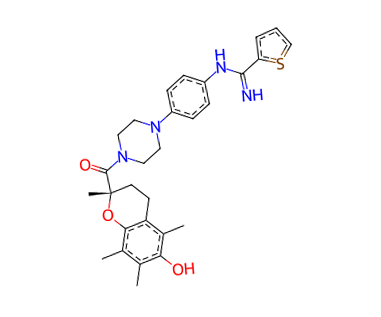 Cc1c(C)c2c(c(C)c1O)CC[C@@](C)(C(=O)N1CCN(c3ccc(NC(=N)c4cccs4)cc3)CC1)O2